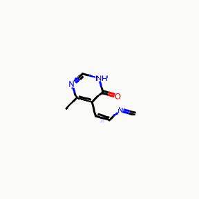 C=N/C=C\c1c(C)nc[nH]c1=O